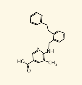 Cc1cc(C(=O)O)cnc1NCc1ccccc1CCc1ccccc1